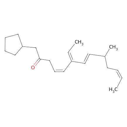 CC=C(/C=C\CC(=O)CC1CCCC1)/C=C/C(C)C/C=C\C